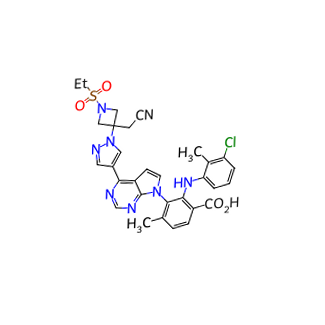 CCS(=O)(=O)N1CC(CC#N)(n2cc(-c3ncnc4c3ccn4-c3c(C)ccc(C(=O)O)c3Nc3cccc(Cl)c3C)cn2)C1